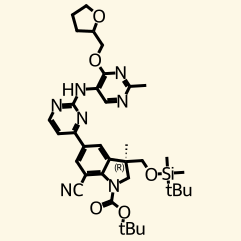 Cc1ncc(Nc2nccc(-c3cc(C#N)c4c(c3)[C@@](C)(CO[Si](C)(C)C(C)(C)C)CN4C(=O)OC(C)(C)C)n2)c(OCC2CCCO2)n1